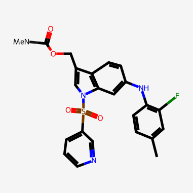 CNC(=O)OCc1cn(S(=O)(=O)c2cccnc2)c2cc(Nc3ccc(C)cc3F)ccc12